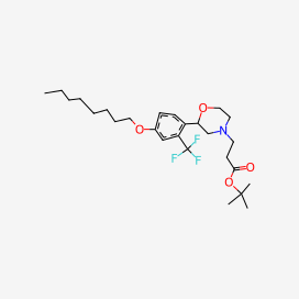 CCCCCCCCOc1ccc(C2CN(CCC(=O)OC(C)(C)C)CCO2)c(C(F)(F)F)c1